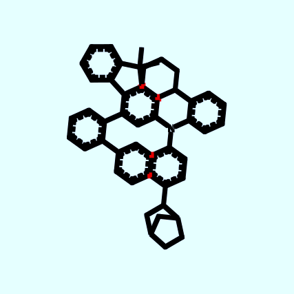 CC1(C)c2ccccc2-c2c(-c3ccccc3-c3ccccc3)cc(N(c3ccc(C4CC5CCC4C5)cc3)c3ccccc3C3CCCCC3)cc21